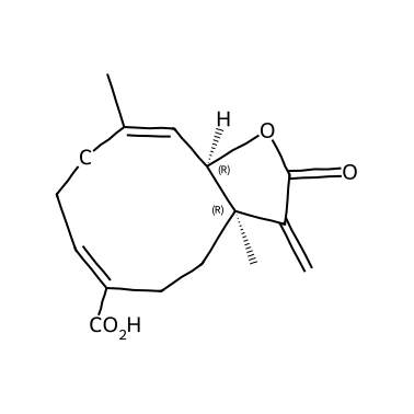 C=C1C(=O)O[C@@H]2C=C(C)CCC=C(C(=O)O)CC[C@]12C